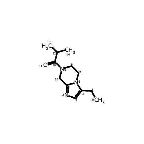 CCc1cnc2n1CCN(C(=O)C(C)C)C2